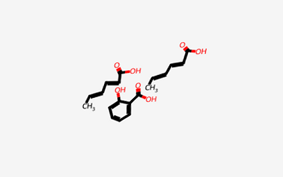 C/C=C/C=C/C(=O)O.C/C=C/C=C/C(=O)O.O=C(O)c1ccccc1O